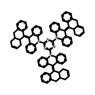 C1=CCC2C(=C1)Cc1ccccc1C2=C1c2ccccc2N(c2nc(N3c4ccccc4C(=C4c5ccccc5CC5CC=CCC45)c4ccccc43)nc(N3c4ccccc4C(=C4c5ccccc5CC5CC=CCC45)c4ccccc43)n2)c2ccccc21